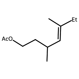 CCC(C)=CC(C)CCOC(C)=O